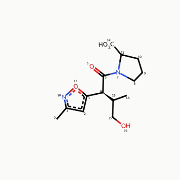 Cc1cc([C@@H](C(=O)N2CCCC2C(=O)O)C(C)CO)on1